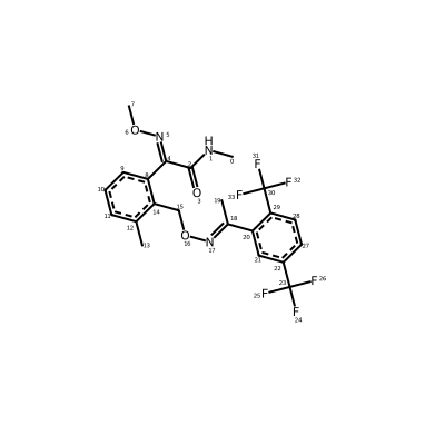 CNC(=O)/C(=N/OC)c1cccc(C)c1CO/N=C(\C)c1cc(C(F)(F)F)ccc1C(F)(F)F